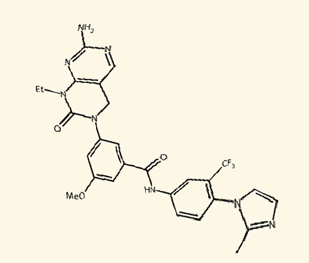 CCN1C(=O)N(c2cc(OC)cc(C(=O)Nc3ccc(-n4ccnc4C)c(C(F)(F)F)c3)c2)Cc2cnc(N)nc21